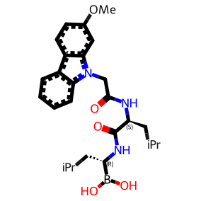 COc1ccc2c3ccccc3n(CC(=O)N[C@@H](CC(C)C)C(=O)N[C@@H](CC(C)C)B(O)O)c2c1